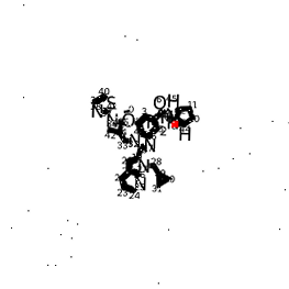 COc1cc(C(=O)N2C[C@H]3CC[C@@H]2[C@@H]3N)cc2nc(-c3cc4cccnc4n3CC3CC3)n(CC3CN(c4nccs4)C3)c12